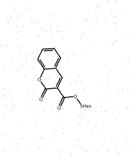 CCCCCCOC(=O)c1cc2ccccc2oc1=O